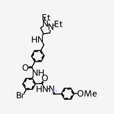 CCN1CC(NCc2ccc(C(=O)Nc3ccc(Br)cc3C(=O)N/N=C/c3ccc(OC)cc3)cc2)CN1CC